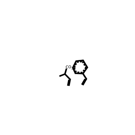 C=CC(C)C(=O)O.C=Cc1ccccc1